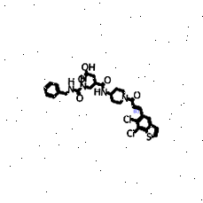 O=C(O)CC(CNC(=O)NCc1ccccc1)C(=O)NC1CCN(C(=O)/C=C/c2cc3ccsc3c(Cl)c2Cl)CC1